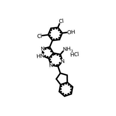 Cl.Nc1nc(C2Cc3ccccc3C2)nc2[nH]nc(-c3cc(O)c(Cl)cc3Cl)c12